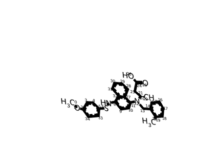 COc1ccc(SNc2ccc(N(Cc3ccccc3C)[C@@H](C)CC(=O)O)c3ccccc23)cc1